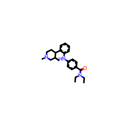 CCN(CC)C(=O)c1ccc(Nc2ccccc2C2CCN(C)CC2C)cc1